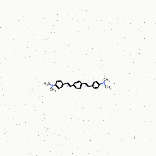 CN(C)c1ccc(/C=C/c2ccc(/C=C/c3ccc(N(C)C)cc3)cc2)cc1